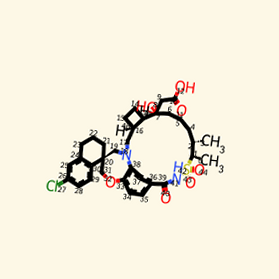 C[C@@H]1[C@@H](C)CCC[C@@](O)(CC(=O)O)[C@@H]2CC[C@H]2CN2C[C@@]3(CCCc4cc(Cl)ccc43)COc3ccc(cc32)C(=O)NS1(=O)=O